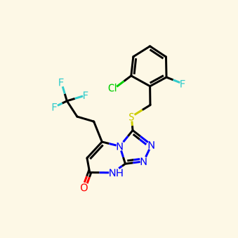 O=c1cc(CCC(F)(F)F)n2c(SCc3c(F)cccc3Cl)nnc2[nH]1